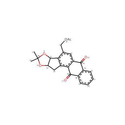 CC(=O)OCc1cc2c(c3c1C1OC(C)(C)OC1C3)C(=O)c1ccccc1C2=O